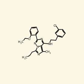 CCCc1nc(C)c2c(NCCc3cccc(Cl)c3)nc(-c3ccccc3OCC)nn12